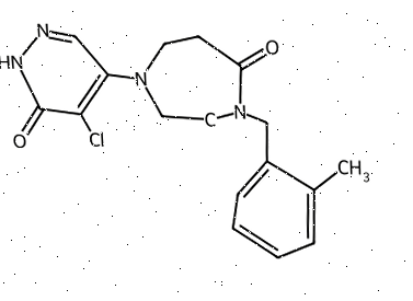 Cc1ccccc1CN1CCN(c2cn[nH]c(=O)c2Cl)CCC1=O